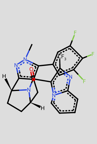 Cn1nc2c(c1-c1cc(F)c(F)c(F)c1)C[C@@H]1CC[C@H]2N1C(=O)c1c(C(F)(F)F)nc2ccccn12